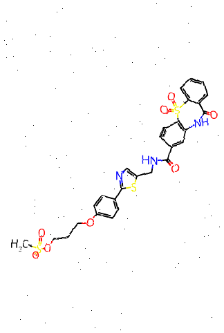 CS(=O)(=O)OCCCOc1ccc(-c2ncc(CNC(=O)c3ccc4c(c3)NC(=O)c3ccccc3S4(=O)=O)s2)cc1